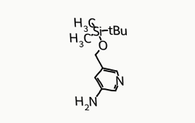 CC(C)(C)[Si](C)(C)OCc1cncc(N)c1